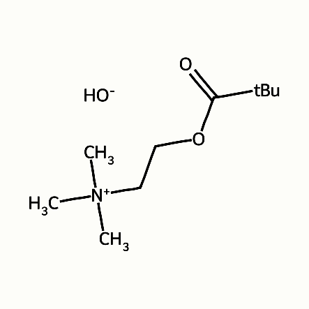 CC(C)(C)C(=O)OCC[N+](C)(C)C.[OH-]